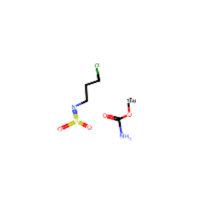 CC(C)(C)OC(N)=O.O=S(=O)=NCCCCl